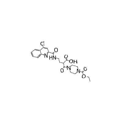 CCOC(=O)N1CCN(C(=O)C(CCNC(=O)c2cc(Cl)c3ccccc3n2)C(=O)O)CC1